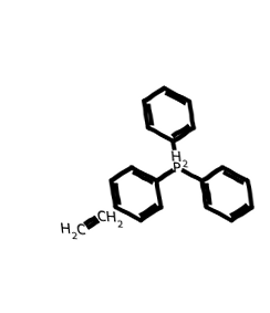 C=C.c1ccc([PH2](c2ccccc2)c2ccccc2)cc1